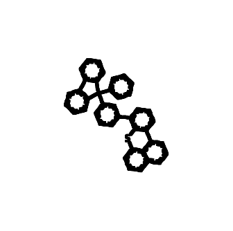 c1ccc(C2(c3cccc(-c4cccc5c4Sc4cccc6cccc-5c46)c3)c3ccccc3-c3ccccc32)cc1